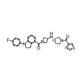 O=C(c1cscn1)N1CC[C@H](NC2CN(C(=O)c3cccc4c3CCN4c3ccc(F)cc3)C2)C1